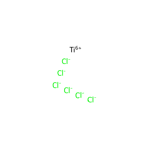 [Cl-].[Cl-].[Cl-].[Cl-].[Cl-].[Cl-].[Ti+6]